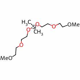 COCCOCCO[Si](C)(C)OCCOCCOC